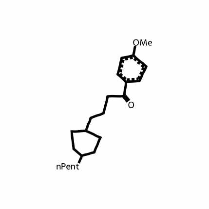 CCCCCC1CCC(CCCC(=O)c2ccc(OC)cc2)CC1